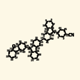 N#Cc1ccc(-n2c3ccccc3c3cc(-c4ccc5c(c4)c4ccccc4n5-c4ccc5oc6ccccc6c5c4)ccc32)cc1